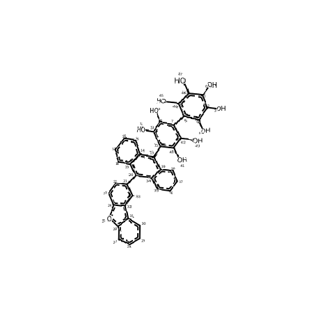 Oc1c(O)c(O)c(-c2c(O)c(O)c(-c3c4ccccc4c(-c4ccc5oc6ccccc6c5c4)c4ccccc34)c(O)c2O)c(O)c1O